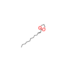 CCCCCCCCC/C=C/C1OCCCO1